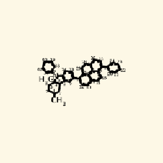 CC1CCC2(C)C(C1)c1cc(-c3ccc4ccc5c(-c6ccccc6)ccc6ccc3c4c65)ccc1N2c1ccccc1